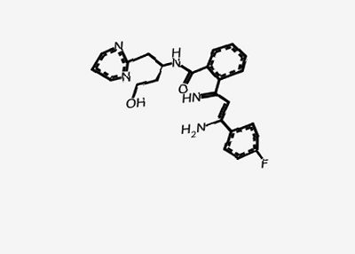 N=C(/C=C(\N)c1ccc(F)cc1)c1ccccc1C(=O)N[C@@H](CCO)Cc1ncccn1